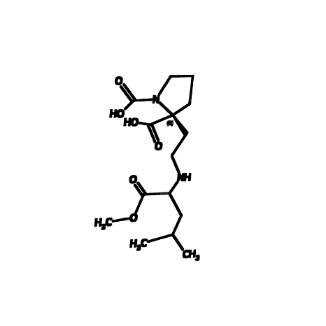 COC(=O)C(CC(C)C)NCC[C@]1(C(=O)O)CCCN1C(=O)O